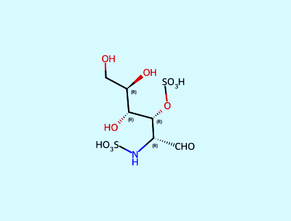 O=C[C@H](NS(=O)(=O)O)[C@@H](OS(=O)(=O)O)[C@H](O)[C@H](O)CO